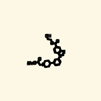 COC(=O)CN1CCC(c2cccc(-n3cnc4cc(C(=O)OCCO)ccc43)c2)CC1